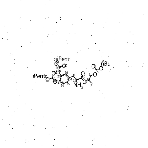 CCCCOC(=O)OCC(C)OC(=O)[C@@H](N)Cc1ccc(OC(=O)O[C@@H](C)CCC)c(OC(=O)OC(C)CCC)c1